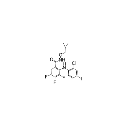 O=C(NOCC1CC1)c1cc(F)c(F)c(F)c1Nc1ccc(I)cc1Cl